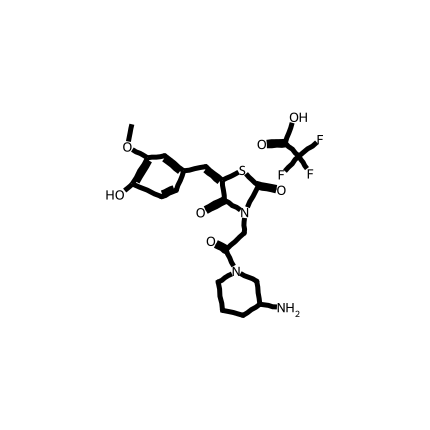 COc1cc(C=C2SC(=O)N(CC(=O)N3CCCC(N)C3)C2=O)ccc1O.O=C(O)C(F)(F)F